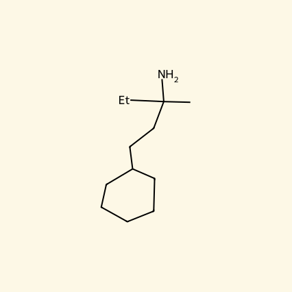 CCC(C)(N)CCC1CCCCC1